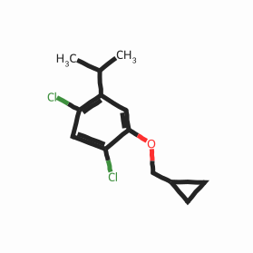 CC(C)c1cc(OCC2CC2)c(Cl)cc1Cl